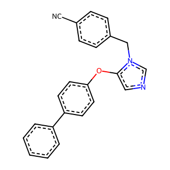 N#Cc1ccc(Cn2cncc2Oc2ccc(-c3ccccc3)cc2)cc1